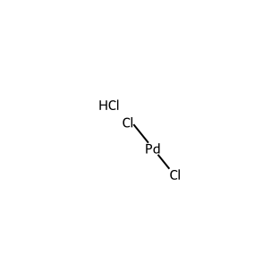 Cl.[Cl][Pd][Cl]